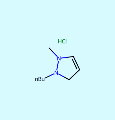 CCCCN1CC=CN1C.Cl